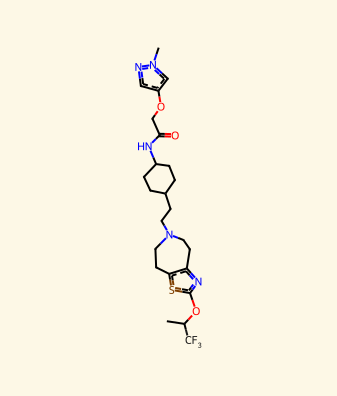 CC(Oc1nc2c(s1)CCN(CCC1CCC(NC(=O)COc3cnn(C)c3)CC1)CC2)C(F)(F)F